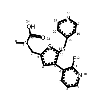 CN(Cc1cc(-c2cccnc2F)c(Sc2ccncc2)s1)C(=O)O